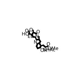 CCC1(O)C(=O)OCc2c1cc1n(c2=O)Cc2cc3c(C=C(NC(C)=O)C(=O)OC)c(O)ccc3nc2-1